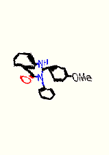 COc1ccc(C2Nc3ccccc3C(=O)N2c2ccccc2)cc1